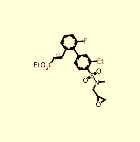 CCOC(=O)/C=C/c1cccc(F)c1-c1ccc(S(=O)(=O)N(C)CC2CO2)c(CC)c1